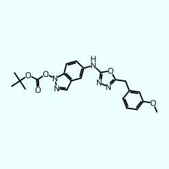 COc1cccc(Cc2nnc(Nc3ccc4c(cnn4OC(=O)OC(C)(C)C)c3)o2)c1